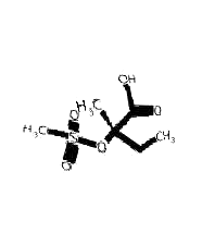 CC[C@](C)(OS(C)(=O)=O)C(=O)O